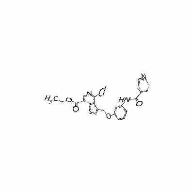 CCOC(=O)c1cnc(Cl)c2c(COc3cccc(NC(=O)c4ccncc4)c3)csc12